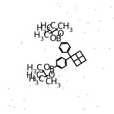 CC1(C)OB(c2ccc(C3(c4ccc(B5OC(C)(C)C(C)(C)O5)cc4)C4CC5CC6CC3C564)cc2)OC1(C)C